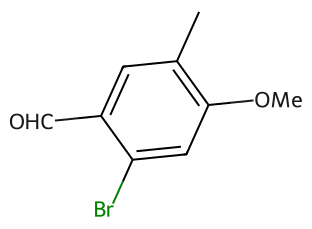 COc1cc(Br)c(C=O)cc1C